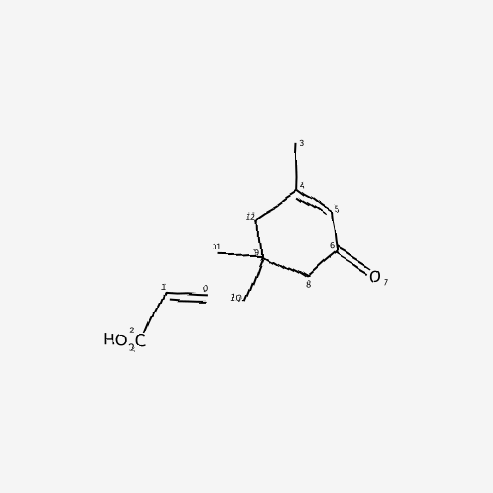 C=CC(=O)O.CC1=CC(=O)CC(C)(C)C1